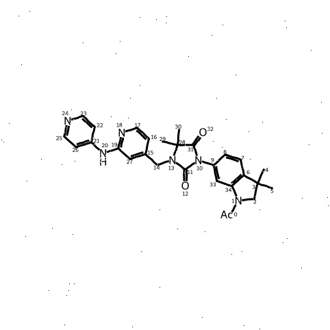 CC(=O)N1CC(C)(C)c2ccc(N3C(=O)N(Cc4ccnc(Nc5ccncc5)c4)C(C)(C)C3=O)cc21